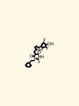 O=C1NC(=S)N(CCc2ccccc2)C(=O)/C1=C/c1ccc(-c2cc(F)c(O)c(F)c2)[nH]1